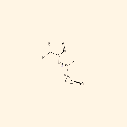 C=NN(/C=C(\C)[C@H]1C[C@@H]1C(C)C)C(F)F